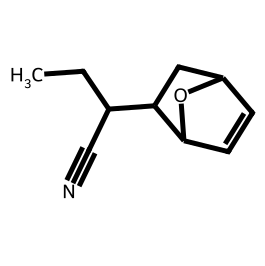 CCC(C#N)C1CC2C=CC1O2